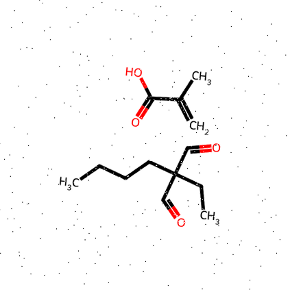 C=C(C)C(=O)O.CCCCC(C=O)(C=O)CC